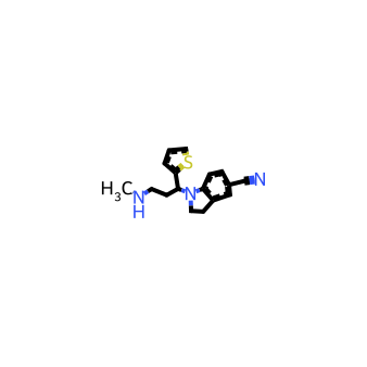 CNCCC(c1cccs1)N1CCc2cc(C#N)ccc21